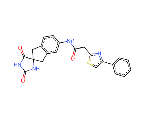 O=C(Cc1nc(-c2ccccc2)cs1)Nc1ccc2c(c1)CC1(C2)NC(=O)NC1=O